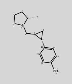 C[C@H]1CCCN1C[C@H]1C[C@@H]1c1ccc(N)cc1